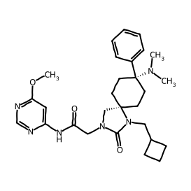 COc1cc(NC(=O)CN2C[C@]3(CC[C@@](c4ccccc4)(N(C)C)CC3)N(CC3CCC3)C2=O)ncn1